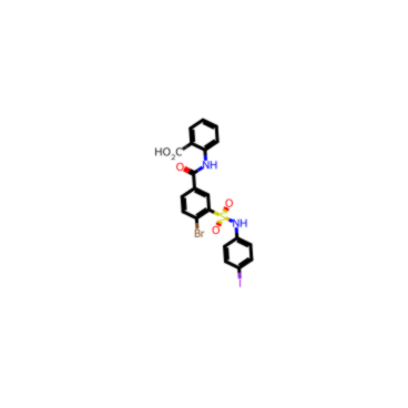 O=C(Nc1ccccc1C(=O)O)c1ccc(Br)c(S(=O)(=O)Nc2ccc(I)cc2)c1